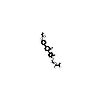 C=CC(=O)Oc1ccc(-c2ccc(-c3ccc(O/C=C\OC(=O)C(=C)C)c(F)c3)c(F)c2)cc1